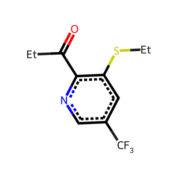 CCSc1cc(C(F)(F)F)cnc1C(=O)CC